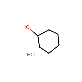 Cl.OC1CCCCC1